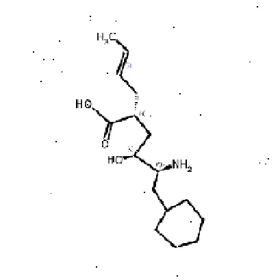 C/C=C/C[C@H](C[C@H](O)[C@@H](N)CC1CCCCC1)C(=O)O